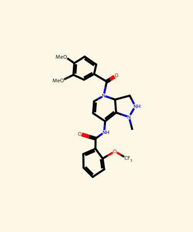 COc1ccc(C(=O)N2C=CC(NC(=O)c3ccccc3OC(F)(F)F)=C3C2CNN3C)cc1OC